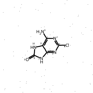 Nc1nc(Cl)nc2[nH]c(=O)[nH]c12